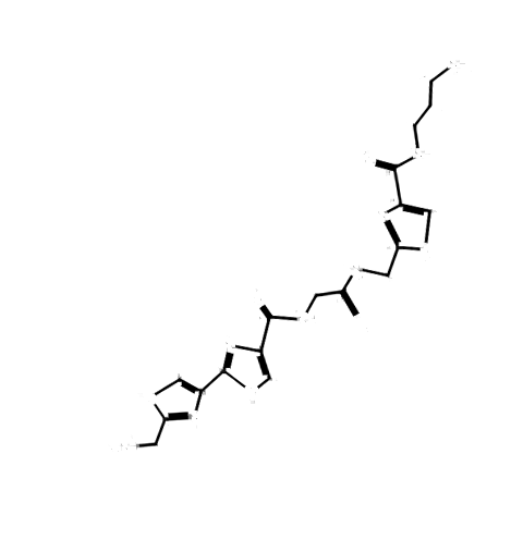 CC(=O)NCc1nc(-c2nc(C(=O)NCC(=O)NCc3nc(C(=O)NCCCN)cs3)co2)cs1